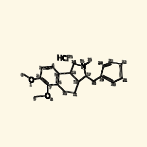 COc1ccc2c(c1OC)CCC1C2CN(C)C1Cc1ccccc1.Cl